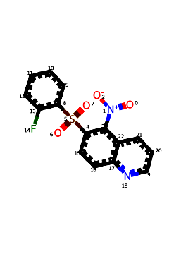 O=[N+]([O-])c1c(S(=O)(=O)c2ccccc2F)ccc2ncccc12